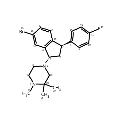 CN1CCN([C@H]2C[C@H](c3ccc(F)cc3)c3ccc(Br)cc32)CC1(C)C